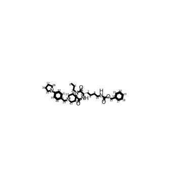 CCCN1C(=O)[C@H](CCCCNC(=O)OCc2ccccc2)NC(=O)C12CCN(Cc1ccc(N3CCCC3)cc1)CC2